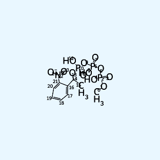 COP(=O)(O)OP(=O)(O)OP(=O)(O)OC(C)c1ccccc1[N+](=O)[O-]